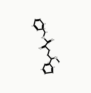 COC(CCC(=O)C(=O)OCc1ccccc1)c1ccccc1